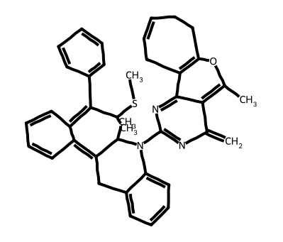 C=c1nc(N2c3ccccc3C/C(=c3\cccc\c3=C(/c3ccccc3)C(C)SC)C2C)nc2c1=C(C)OC1=C2CC=CCC1